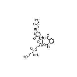 CC(C)CC(=O)ONc1ccn([C@@H]2O[C@H](CCOC(=O)[C@H](N)CCO)[C@H]3OC(=O)c4ccccc4C(=O)O[C@H]32)c(=O)n1